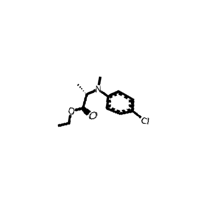 CCOC(=O)[C@H](C)N(C)c1ccc(Cl)cc1